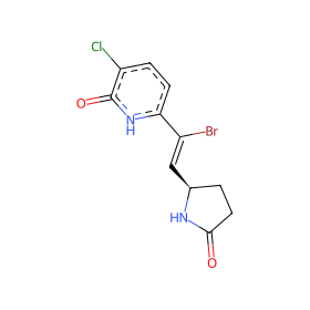 O=C1CC[C@H](C=C(Br)c2ccc(Cl)c(=O)[nH]2)N1